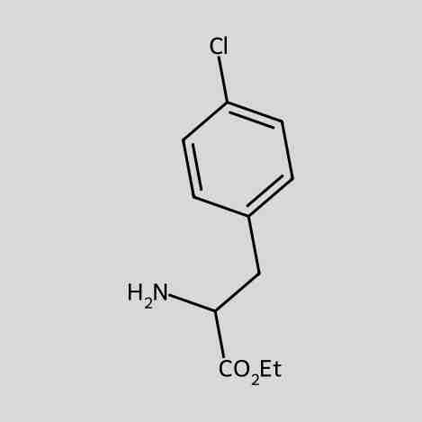 CCOC(=O)C(N)Cc1ccc(Cl)cc1